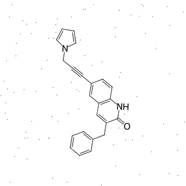 O=c1[nH]c2ccc(C#CCn3cccc3)cc2cc1Cc1ccccc1